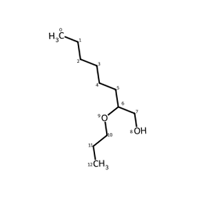 CCCCCCC(CO)OCCC